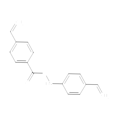 C=Cc1ccc(NOC(=O)c2ccc(C=C)cc2)cc1